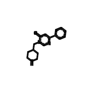 O=c1cc(-c2ccccc2)ncn1CC1CCNCC1